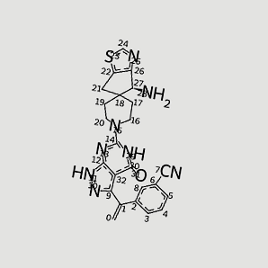 C=C(c1cccc(C#N)c1)c1n[nH]c2nc(N3CCC4(CC3)Cc3scnc3[C@H]4N)[nH]c(=O)c12